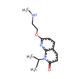 CNCCOc1ccc2ccc(=O)n(C(C)C)c2n1